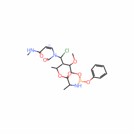 CNC(=O)/C=C\N(C=O)C(Cl)CC(COP(NC(C)C(=O)OC(C)C)Oc1ccccc1)OC